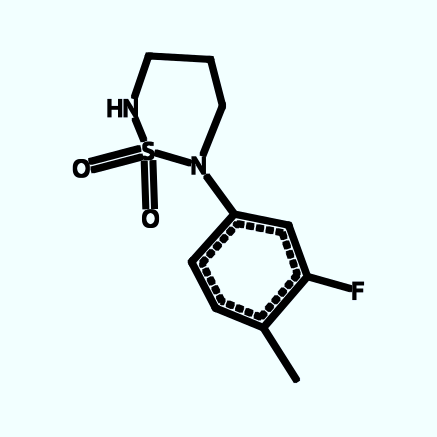 Cc1ccc(N2CCCNS2(=O)=O)cc1F